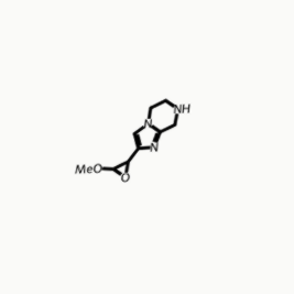 COC1OC1c1cn2c(n1)CNCC2